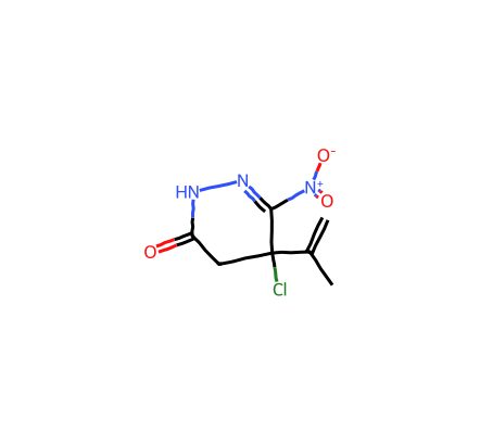 C=C(C)C1(Cl)CC(=O)NN=C1[N+](=O)[O-]